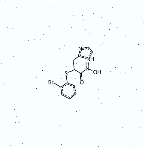 O=C(NO)C(Cc1ncc[nH]1)Sc1ccccc1Br